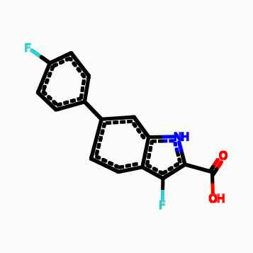 O=C(O)c1[nH]c2cc(-c3ccc(F)cc3)ccc2c1F